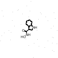 O=C(NO)c1c[nH]c2ccccc12